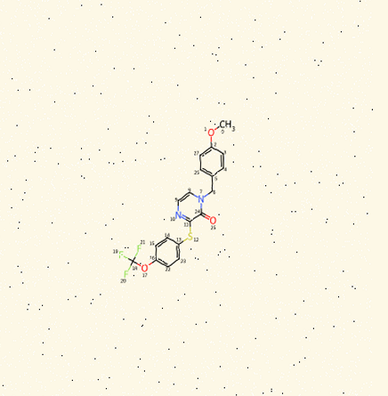 COc1ccc(Cn2ccnc(Sc3ccc(OC(F)(F)F)cc3)c2=O)cc1